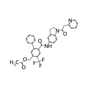 CC(=O)OCc1cc(-c2ccccc2)c(C(=O)Nc2ccc3c(c2)CCN3C(=O)Cc2ccccn2)cc1C(F)(F)F